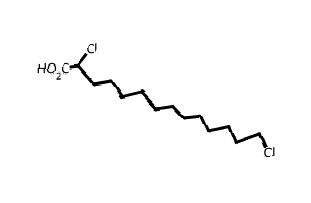 O=C(O)C(Cl)CCCCCCCCCCCCCl